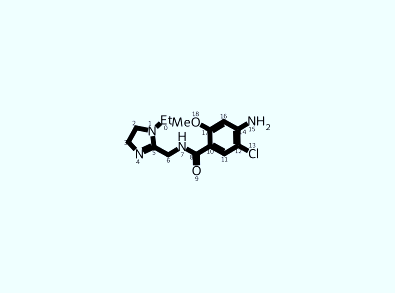 CCN1CCN=C1CNC(=O)c1cc(Cl)c(N)cc1OC